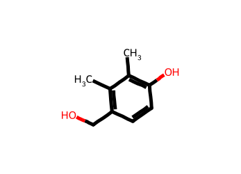 Cc1c(O)ccc(CO)c1C